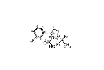 CC(F)(F)[C@H]1CC[C@@H](c2cccc(F)c2)N1C(=O)O